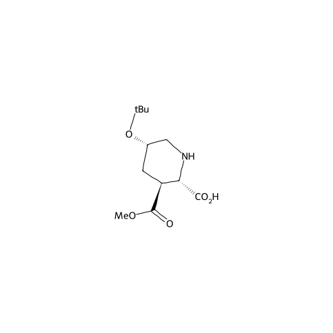 COC(=O)[C@H]1C[C@H](OC(C)(C)C)CN[C@@H]1C(=O)O